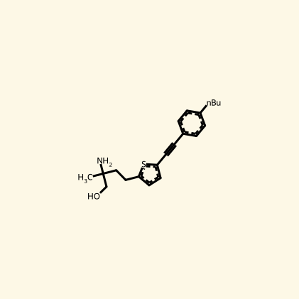 CCCCc1ccc(C#Cc2ccc(CCC(C)(N)CO)s2)cc1